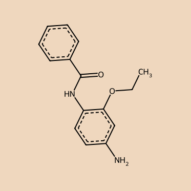 CCOc1cc(N)ccc1NC(=O)c1ccccc1